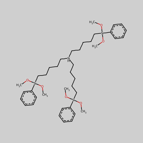 CO[Si](CCCCC[SiH](CCCCC[Si](OC)(OC)c1ccccc1)CCCCC[Si](OC)(OC)c1ccccc1)(OC)c1ccccc1